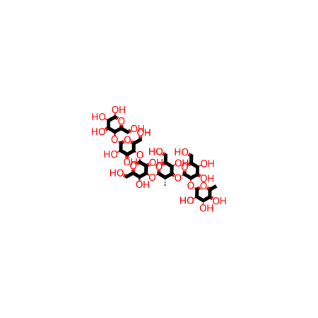 CC1O[C@@H](O[C@H]2C(O)[C@@H](O)C(CO)O[C@H]2OC2[C@@H](O)C(CO)O[C@@H](O[C@@H]3C(O)[C@@H](O[C@H]4C(CO)O[C@@H](O[C@@H]5C(CO)O[C@@H](O)[C@@H](O)C5O)[C@@H](O)C4O)OC(CO)[C@@H]3O)[C@H]2C)[C@@H](O)[C@@H](O)C1O